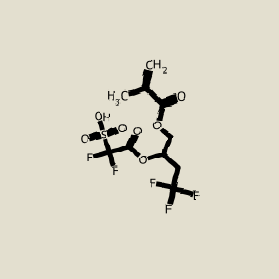 C=C(C)C(=O)OCC(CC(F)(F)F)OC(=O)C(F)(F)S(=O)(=O)O